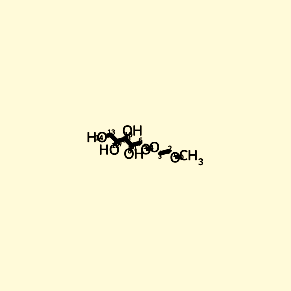 COCCOOC[C@H](O)[C@H](O)[C@H](O)CO